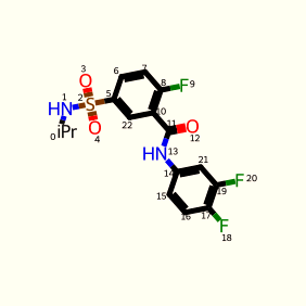 CC(C)NS(=O)(=O)c1ccc(F)c(C(=O)Nc2ccc(F)c(F)c2)c1